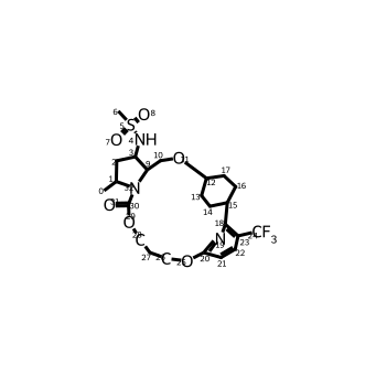 CC1CC(NS(C)(=O)=O)C2COC3CCC(CC3)c3nc(ccc3C(F)(F)F)OCCCOC(=O)N12